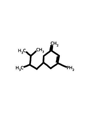 C=C1C=C(P)CC(CC(C)C(C)C)C1